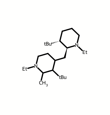 CCN1CCC(C[C@H]2[C@H](C(C)(C)C)CCCN2CC)C(C(C)(C)C)C1C